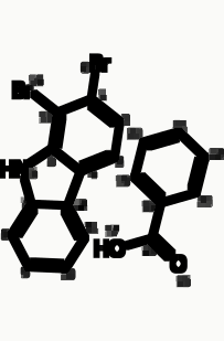 Brc1ccc2c([nH]c3ccccc32)c1Br.O=C(O)c1ccccc1